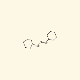 C1CC[CH]([Sn][S][Sn][CH]2CCCCC2)CC1